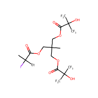 CCC(C)(I)C(=O)OCC(C)(COC(=O)C(O)(C(F)(F)F)C(F)(F)F)COC(=O)C(O)(C(F)(F)F)C(F)(F)F